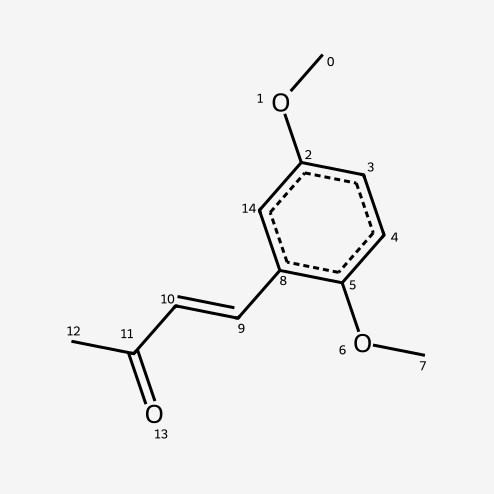 COc1ccc(OC)c(/C=C/C(C)=O)c1